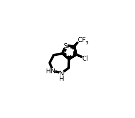 FC(F)(F)c1sc2c(c1Cl)CNNCC2